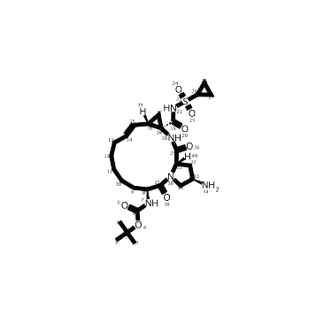 CC(C)(C)OC(=O)N[C@H]1CCCCC/C=C/[C@@H]2C[C@@]2(C(=O)NS(=O)(=O)C2CC2)NC(=O)[C@@H]2C[C@@H](N)CN2C1=O